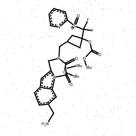 CC(C)(C)OC(=O)OC1(C(F)(F)S(=O)(=O)c2ccccn2)CC(CN(Cc2cc3ccc(CN)cc3n2C(=O)OC(C)(C)C)C(=O)OC(C)(C)C)C1